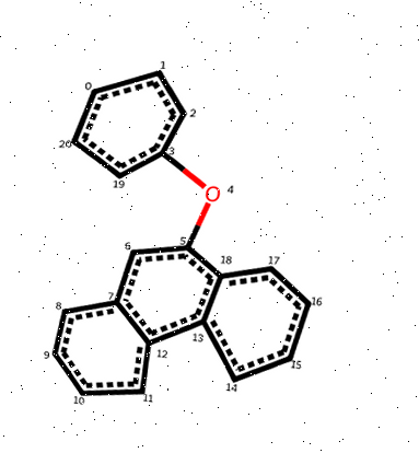 c1ccc(Oc2cc3ccccc3c3ccccc23)cc1